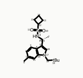 Cc1ccc2c([C@@H](C)NS(=O)(=O)C3CCC3)cn(CC(C)(C)C)c2c1